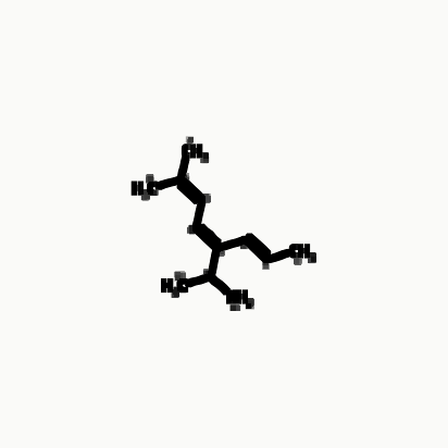 C/C=C/C(=C\C=C(C)C)C(C)N